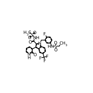 CCS(=O)(=O)Nc1ccc(F)c(Cn2c(C(=O)NS(C)(=O)=O)c(-c3ccc[nH]c3=O)c3cc(C(F)(F)F)ccc32)c1